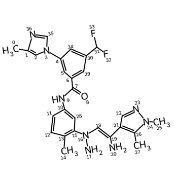 Cc1cn(-c2cc(C(=O)Nc3ccc(C)c(N(N)/C=C(\N)c4cnn(C)c4C)c3)cc(C(F)F)c2)cn1